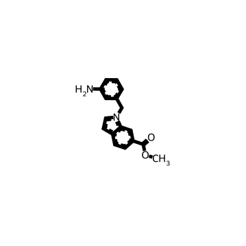 COC(=O)c1ccc2ccn(Cc3cccc(N)c3)c2c1